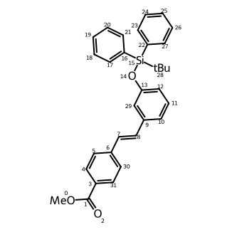 COC(=O)c1ccc(C=Cc2cccc(O[Si](c3ccccc3)(c3ccccc3)C(C)(C)C)c2)cc1